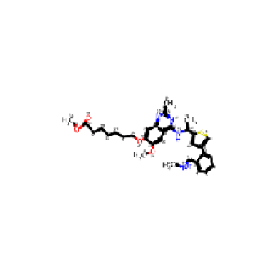 CNCc1ccccc1-c1csc(C(C)Nc2nc(C)nc3cc(OCCCCCCC(=O)OC)c(OC)cc23)c1